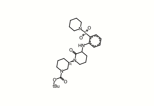 CC(C)(C)OC(=O)N1CCC[C@@H](N2CCCC(Nc3ccccc3S(=O)(=O)N3CCCCC3)C2=O)C1